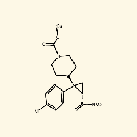 CNC(=O)[C@H]1C[C@]1(c1ccc(Cl)cc1)C1CCN(C(=O)OC(C)(C)C)CC1